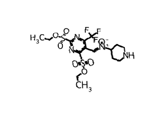 CCOS(=O)(=O)c1nc(C(F)(F)F)c(C=[N+]([O-])C2CCNCC2)c(S(=O)(=O)OCC)n1